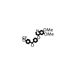 COc1cc2nccc(Oc3ccc(C(=O)c4ccc(OC(F)(F)F)cc4)cc3)c2cc1OC